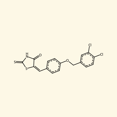 O=C1NC(=S)S/C1=C/c1ccc(OCc2ccc(Cl)c(Cl)c2)cc1